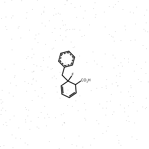 O=C(O)C1C=CC=CC1(F)Cc1ccccc1